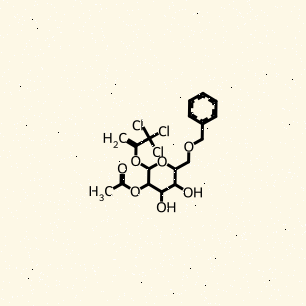 C=C(OC1OC(COCc2ccccc2)C(O)C(O)C1OC(C)=O)C(Cl)(Cl)Cl